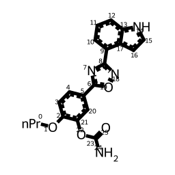 CCCOc1ccc(-c2nc(-c3cccc4[nH]ccc34)no2)cc1OC(N)=O